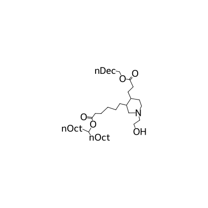 CCCCCCCCCCCOC(=O)CCC1CCN(CCO)CC1CCCCCC(=O)OC(CCCCCCCC)CCCCCCCC